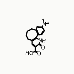 CN(C)c1ccc2c(c1)CCCCc1cc(C(=O)O)c(=O)[nH]c1-2